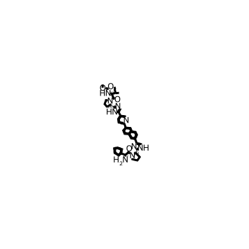 COC(=O)N[C@H](C(=O)N1CCC[C@H]1c1ncc(-c2ccc(-c3ccc4cc(-c5c[nH]c([C@@H]6CCCN6C(=O)[C@H](N)c6ccccc6)n5)ccc4c3)nc2)[nH]1)C(C)C